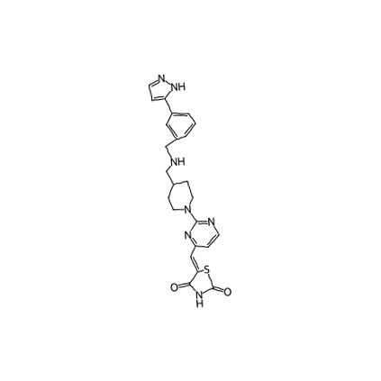 O=C1NC(=O)/C(=C/c2ccnc(N3CCC(CNCc4cccc(-c5ccn[nH]5)c4)CC3)n2)S1